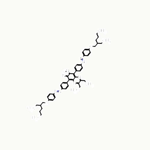 CCCCC(CC)COc1ccc(/N=N/c2ccc(-c3c4nsnc4c(-c4ccc(/N=N/c5ccc(OCC(CC)CCCC)cc5)cc4)c4nc(CC)c(CC)nc34)cc2)cc1